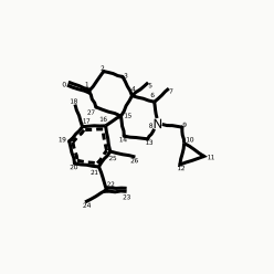 C=C1CCC2(C)C(C)N(CC3CC3)CCC2(c2c(C)ccc(C(=C)C)c2C)C1